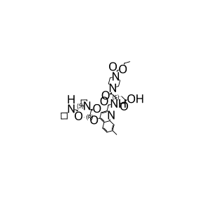 CCOC(=O)N1CCN(C(=O)[C@H](CC(=O)O)NC(=O)c2cc(O[C@H](C)C(=O)N3CC[C@H]3C(=O)NC3CCC3)c3ccc(C)cc3n2)CC1